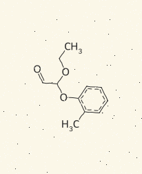 CCOC(C=O)Oc1ccc[c]c1C